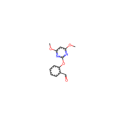 COc1cc(OC)nc(Oc2ccccc2C=O)n1